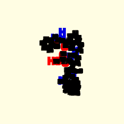 Cc1c(-c2ccc(N3CCc4cccc(C(=O)Nc5nc6ccccc6s5)c4C3)nc2OC(=O)O)cc(C#N)n1CC12CC3CC(CC(C3)C1)C2